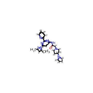 Cc1cc(C)n(-c2cc(NC(=O)CN3CCC(N4CCCC4)CC3)nc(-c3ccccn3)n2)n1